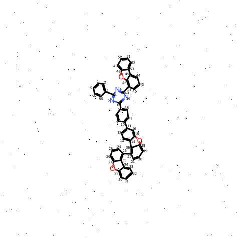 c1ccc(-c2nc(-c3ccc(-c4ccc5c(c4)oc4cccc(-c6cccc7oc8ccccc8c67)c45)cc3)nc(-c3cccc4c3oc3ccccc34)n2)cc1